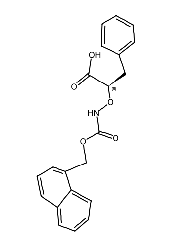 O=C(NO[C@H](Cc1ccccc1)C(=O)O)OCc1cccc2ccccc12